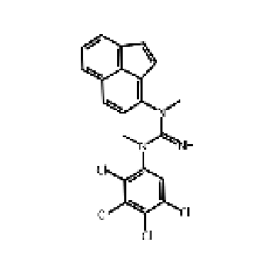 CN(C(=N)N(C)c1ccc2cccc3c2c1C=C3)c1cc(Cl)c(Cl)c(Cl)c1Cl